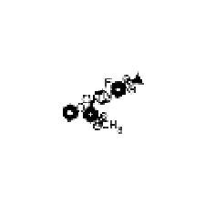 CS(=O)(=O)c1ccc(OC2CCCCC2)c(C(=O)N2CCN(c3ccc(S(=O)(=O)C4CC4)cc3F)CC2)c1